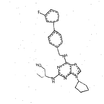 CC[C@H](CO)Nc1nc(NCc2ccc(-c3cccc(F)c3)cc2)c2ncn(C3CCCC3)c2n1